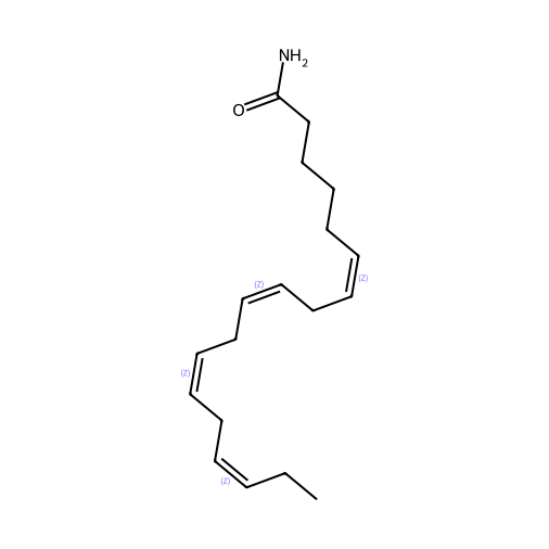 CC/C=C\C/C=C\C/C=C\C/C=C\CCCCC(N)=O